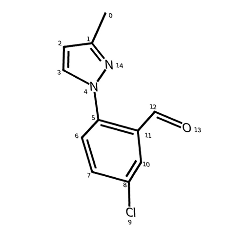 Cc1ccn(-c2ccc(Cl)cc2C=O)n1